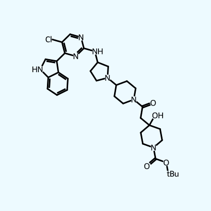 CC(C)(C)OC(=O)N1CCC(O)(CC(=O)N2CCC(N3CCC(Nc4ncc(Cl)c(-c5c[nH]c6ccccc56)n4)C3)CC2)CC1